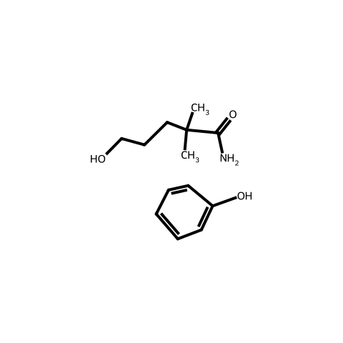 CC(C)(CCCO)C(N)=O.Oc1ccccc1